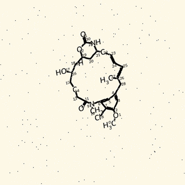 COc1cc2cc(c1Cl)N(C)C(=O)CCC[C@@H](O)C[C@@H]1CC(C/C=C/C=C(\C)C2)NC(=O)O1